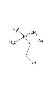 C[N+](C)(C)CCS.[Au]